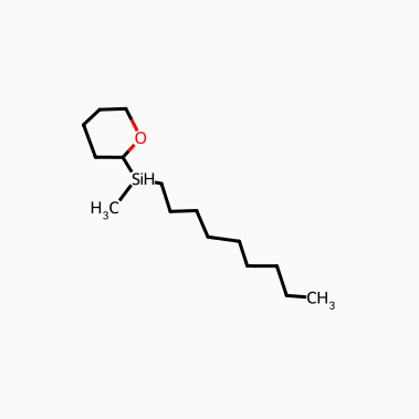 CCCCCCCCC[SiH](C)C1CCCCO1